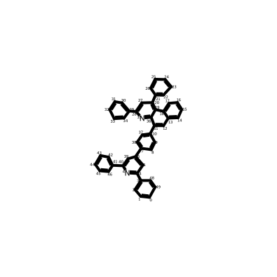 c1ccc(-c2cc(-c3ccc(-c4cc5ccccc5c5c(-c6ccccc6)cc(-c6ccccc6)nc45)cc3)cc(-c3ccccc3)n2)cc1